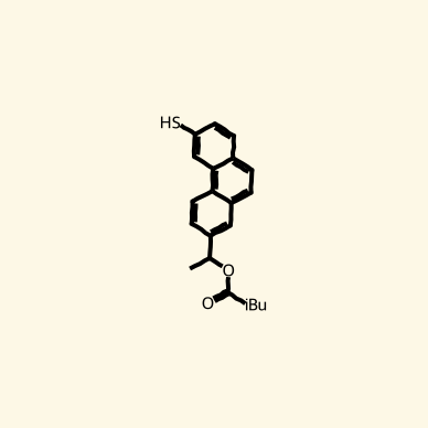 CCC(C)C(=O)OC(C)c1ccc2c(ccc3ccc(S)cc32)c1